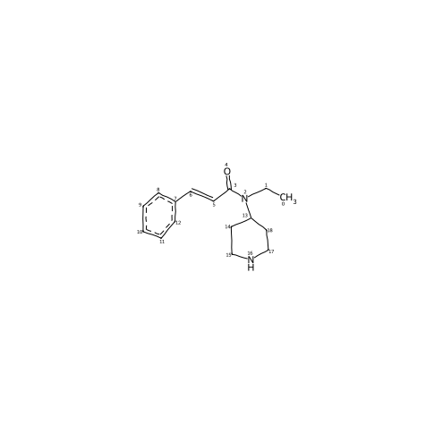 CCN(C(=O)C=Cc1ccccc1)C1CCNCC1